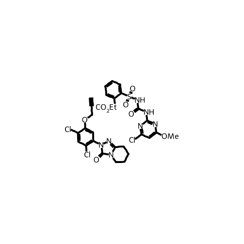 C#CCOc1cc(-n2nc3n(c2=O)CCCC3)c(Cl)cc1Cl.CCOC(=O)c1ccccc1S(=O)(=O)NC(=O)Nc1nc(Cl)cc(OC)n1